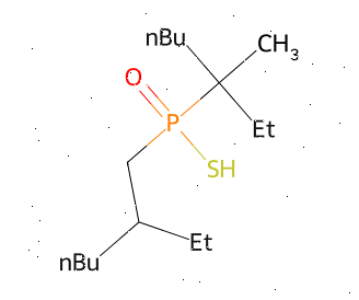 CCCCC(CC)CP(=O)(S)C(C)(CC)CCCC